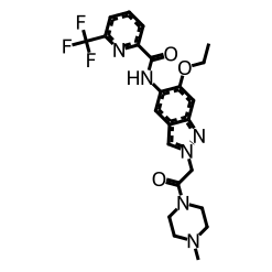 CCOc1cc2nn(CC(=O)N3CCN(C)CC3)cc2cc1NC(=O)c1cccc(C(F)(F)F)n1